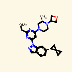 COCc1nc(N2CCN(C3COC3)[C@H](C)C2)cc(-n2ncc3ccc([C@@H]4CC45CC5)cc32)n1